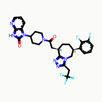 O=C(C[C@H]1CC[C@@H](c2cccc(F)c2F)Cn2c(CC(F)(F)F)nnc21)N1CCC(n2c(=O)[nH]c3ncccc32)CC1